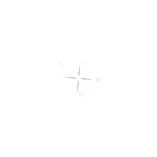 O[Si](O)(O)O.[Al]